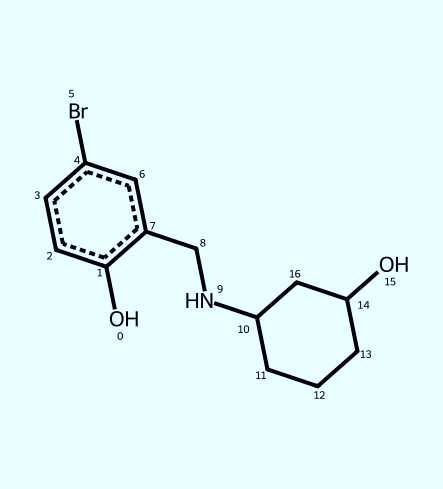 Oc1ccc(Br)cc1CNC1CCCC(O)C1